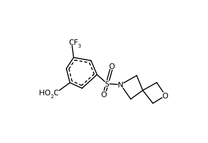 O=C(O)c1cc(C(F)(F)F)cc(S(=O)(=O)N2CC3(COC3)C2)c1